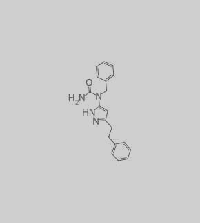 NC(=O)N(Cc1ccccc1)c1cc(CCc2ccccc2)n[nH]1